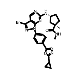 CNC(=O)[C@]1(C)CC[C@@H](Nc2ncc3c(Br)nn(-c4ccc(-c5nnc(C6CC6)o5)cc4)c3n2)C1